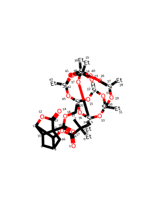 CCC(C)(C)C(=O)OC1C2CC3C1OC(=O)C3(C(=O)OC[Si]13O[SiH]4O[Si]5(CC)O[Si]6(CC)O[Si](CC)(O4)O[Si](CC)(O1)O[Si](CC)(O6)O[Si](CC)(O5)O3)C2